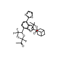 CC(=O)C(F)(F)OC(c1ccc(-c2nccs2)c2oc(N3CC4CC(C3)N4C(=O)OC(C)(C)C)nc12)C(F)(F)F